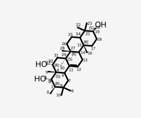 C[C@H]1[C@H](O)[C@@]2(C)C(CC1(C)C)C1=CCC3[C@@]4(C)CC[C@H](O)C(C)(C)C4CC[C@@]3(C)[C@]1(C)C[C@H]2O